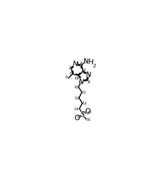 Cc1cnc(N)c2ncn(CCCCCS(C)(=O)=O)c12